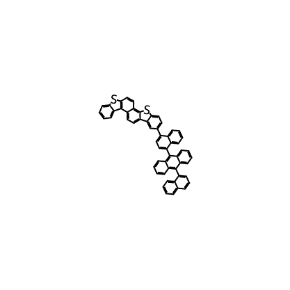 c1ccc2c(-c3c4ccccc4c(-c4ccc(-c5ccc6sc7c(ccc8c7ccc7sc9ccccc9c78)c6c5)c5ccccc45)c4ccccc34)cccc2c1